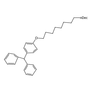 CCCCCCCCCCCCCCCCCCOc1ccc([C](c2ccccc2)c2ccccc2)cc1